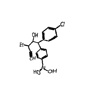 C#CC(CC)C(O)C(c1ccc(Cl)cc1)c1ccc(N(O)O)cc1